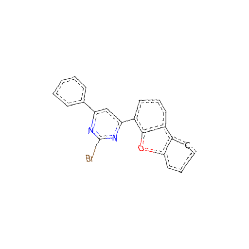 Brc1nc(-c2ccccc2)cc(-c2cccc3c2oc2ccccc23)n1